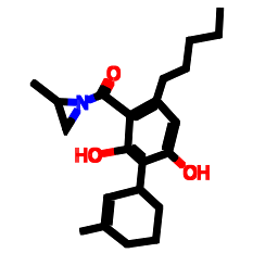 CCCCCc1cc(O)c(C2C=C(C)CCC2)c(O)c1C(=O)N1CC1C